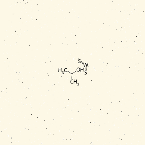 CC(C)O.[S]=[W]=[S]